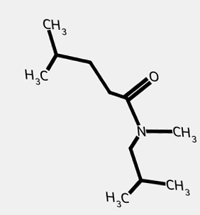 CC(C)CCC(=O)N(C)CC(C)C